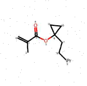 C=C(C)C(=O)OC1(CCC(C)C)CC1